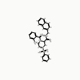 Cc1ccccc1C(=O)N1CCN(S(=O)(=O)c2ccccc2)CC1C(=O)NCc1ccc2ccccc2c1